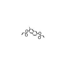 C=CC(=O)Oc1ccc2cc(OC(=O)C=C)c(C)cc2c1